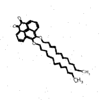 CCCCCCCCCCCCOc1c(OCCCCCCCCCCCC)c2cccc3c(=O)c(=O)c4cccc1c4c23